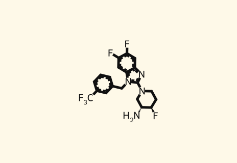 N[C@@H]1CN(c2nc3cc(F)c(F)cc3n2Cc2cccc(C(F)(F)F)c2)CC[C@H]1F